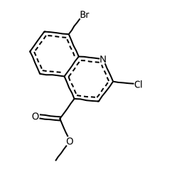 COC(=O)c1cc(Cl)nc2c(Br)cccc12